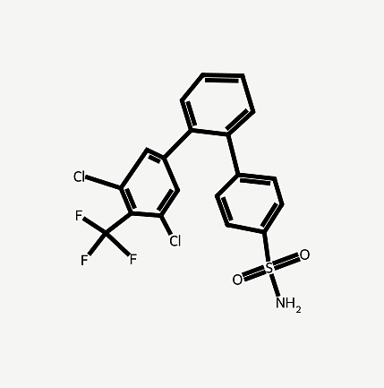 NS(=O)(=O)c1ccc(-c2ccccc2-c2cc(Cl)c(C(F)(F)F)c(Cl)c2)cc1